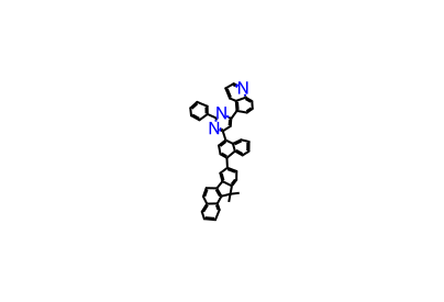 CC1(C)c2ccc(-c3ccc(-c4cc(-c5cccc6ncccc56)nc(-c5ccccc5)n4)c4ccccc34)cc2-c2ccc3ccccc3c21